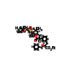 CCOC(=O)C(Cc1cccc(C(C)(CCCC(C)(C)CS(=O)(=O)CCO[Si](C)(C)C(C)(C)C)C(=O)OC(C)(C)C)c1)OCc1ccccc1